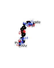 COC(=O)NC(C(=O)N1CCC[C@@H]1c1ncc(-c2ccc3oc4c(ccc5cc(-c6cnc([C@H]7CCCN7C(=O)[C@H](NC(=O)OC)C(C)C)[nH]6)ccc54)c(=O)c3c2)[nH]1)C(C)C